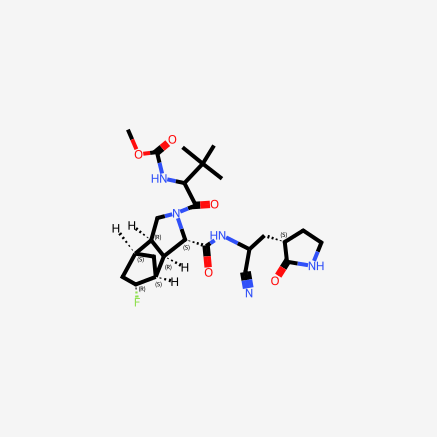 COC(=O)NC(C(=O)N1C[C@@H]2[C@H]3C[C@@H]([C@@H]2[C@H]1C(=O)NC(C#N)C[C@@H]1CCNC1=O)[C@H](F)C3)C(C)(C)C